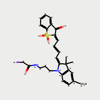 CC1(C)\C(=C/C=C/C=C2/C(=O)c3ccccc3S2(=O)=O)N(CCCNC(=O)CI)c2ccc(S(=O)(=O)O)cc21